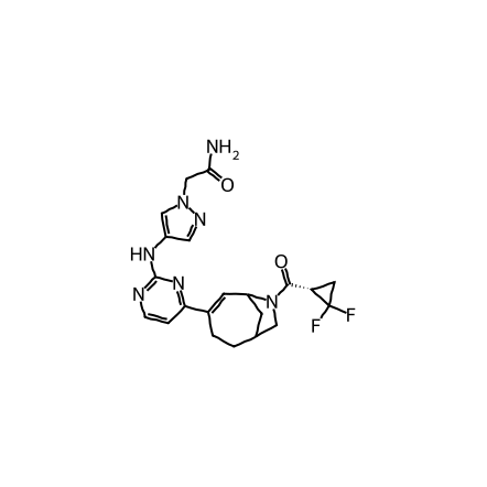 NC(=O)Cn1cc(Nc2nccc(C3=CC4CC(CC3)CN4C(=O)[C@@H]3CC3(F)F)n2)cn1